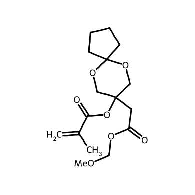 C=C(C)C(=O)OC1(CC(=O)OCOC)COC2(CCCC2)OC1